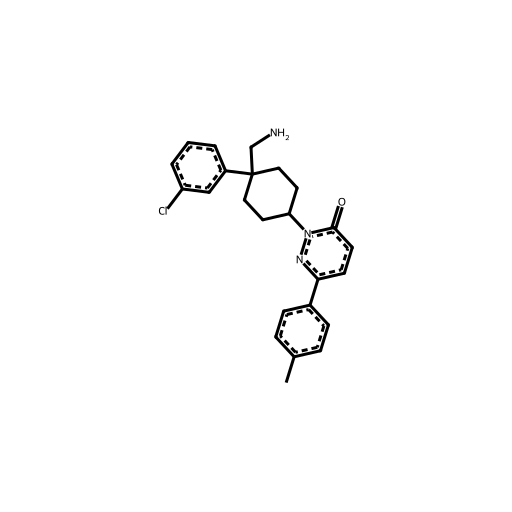 Cc1ccc(-c2ccc(=O)n(C3CCC(CN)(c4cccc(Cl)c4)CC3)n2)cc1